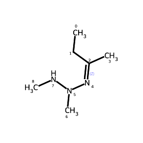 CC/C(C)=N\N(C)NC